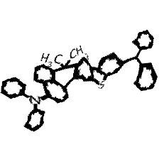 CC1(C)c2cc3c(cc2-c2ccc(N(c4ccccc4)c4ccccc4)c4cccc1c24)sc1cc(C(c2ccccc2)c2ccccc2)ccc13